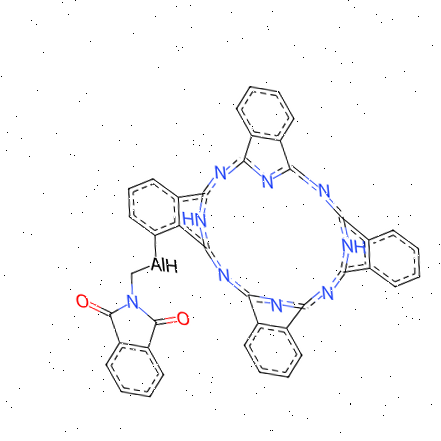 O=C1c2ccccc2C(=O)N1[CH2][AlH][c]1cccc2c3nc4nc(nc5[nH]c(nc6nc(nc([nH]3)c12)-c1ccccc1-6)c1ccccc51)-c1ccccc1-4